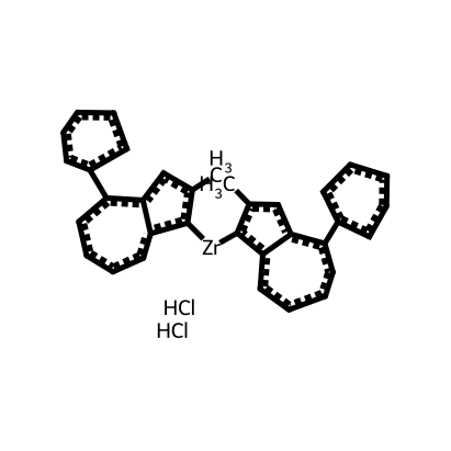 Cc1cc2c(-c3ccccc3)ccccc-2[c]1[Zr][c]1c(C)cc2c(-c3ccccc3)ccccc1-2.Cl.Cl